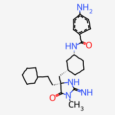 CN1C(=N)N[C@](CCC2CCCCC2)(C[C@H]2CCC[C@@H](NC(=O)c3ccc(N)cc3)C2)C1=O